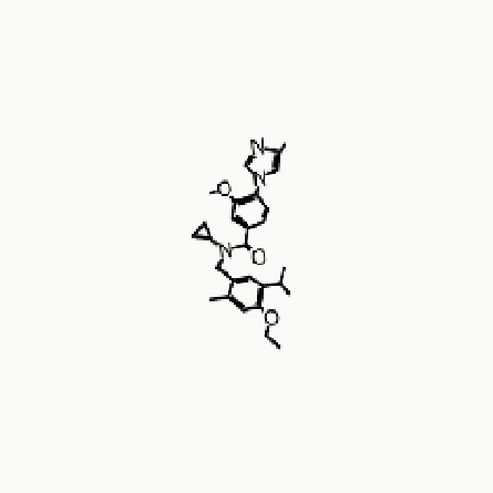 CCOc1cc(C)c(CN(C(=O)c2ccc(-n3cnc(C)c3)c(OC)c2)C2CC2)cc1C(C)C